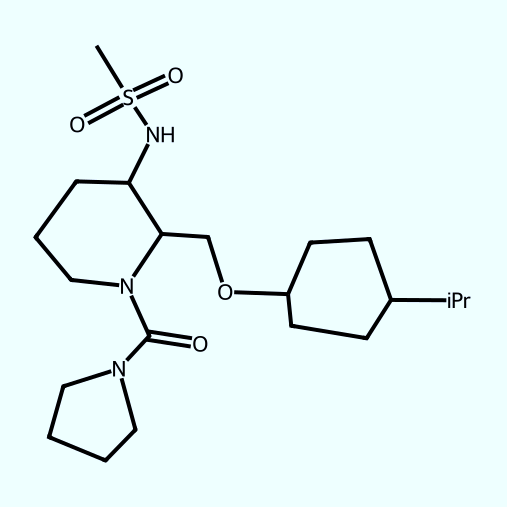 CC(C)C1CCC(OCC2C(NS(C)(=O)=O)CCCN2C(=O)N2CCCC2)CC1